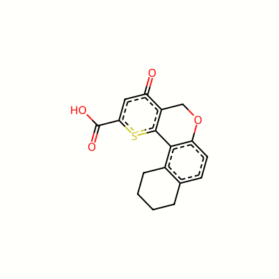 O=C(O)c1cc(=O)c2c(s1)-c1c(ccc3c1CCCC3)OC2